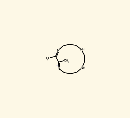 CC1=N/CCCNCCNCCC\N=C\1C